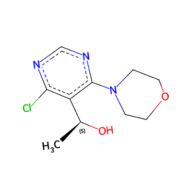 C[C@H](O)c1c(Cl)ncnc1N1CCOCC1